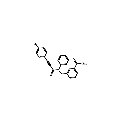 COC(=O)c1cccc(CN(C(=O)C#Cc2ccc(Cl)cc2)c2ccccc2)c1